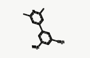 Cc1cc(-c2cc(C(=O)O)cc(C(=O)O)c2)cc(C)n1